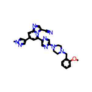 COc1ccccc1CN1CCN(c2cnc(-c3cc(-c4cnn(C)c4)cc4ncc(C#N)n34)cn2)CC1